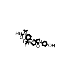 CC(C)N(C(=O)O)c1ccc(N2CCC[C@]3(CCN([C@H]4CC[C@H](O)CC4)C3=O)C2)c(C(F)(F)F)c1